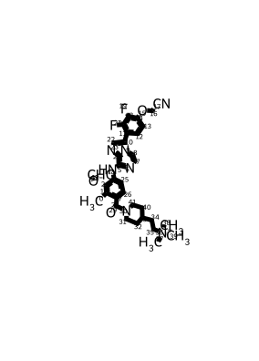 Cc1cc(Nc2nccn3c(-c4ccc(OCC#N)c(F)c4F)cnc23)ccc1C(=O)N1CCC(CC[N+](C)(C)C)CC1.O=C[O-]